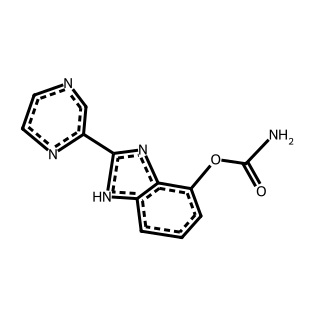 NC(=O)Oc1cccc2[nH]c(-c3cnccn3)nc12